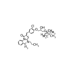 CCC/N=C1\S/C(=C\c2ccc(OCC(O)CO[Si](C)(C)C(C)(C)C)c(Cl)c2)C(=O)N1c1ccccc1C